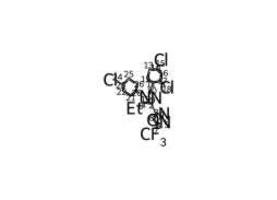 CCc1c(-c2nnc(C(F)(F)F)o2)nc(-c2ccc(Cl)cc2Cl)n1-c1ccc(Cl)cc1